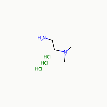 CN(C)CCN.Cl.Cl.Cl